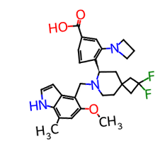 COc1cc(C)c2[nH]ccc2c1CN1CCC2(C[C@@H]1c1ccc(C(=O)O)cc1N1CCC1)CC(F)(F)C2